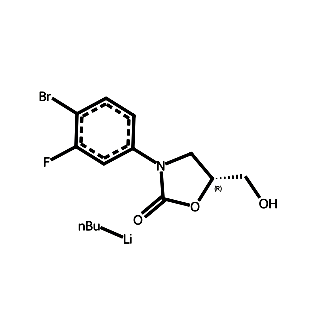 O=C1O[C@@H](CO)CN1c1ccc(Br)c(F)c1.[Li][CH2]CCC